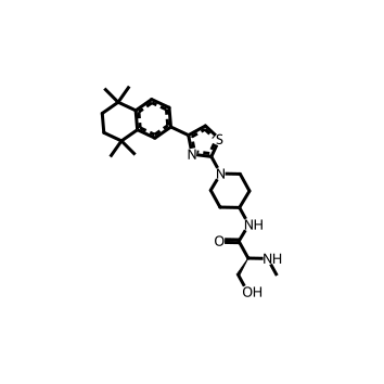 CN[C@@H](CO)C(=O)NC1CCN(c2nc(-c3ccc4c(c3)C(C)(C)CCC4(C)C)cs2)CC1